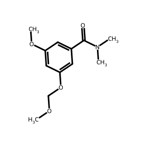 COCOc1cc(OC)cc(C(=O)N(C)C)c1